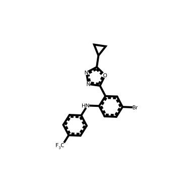 FC(F)(F)c1ccc(Nc2ccc(Br)cc2-c2nnc(C3CC3)o2)cc1